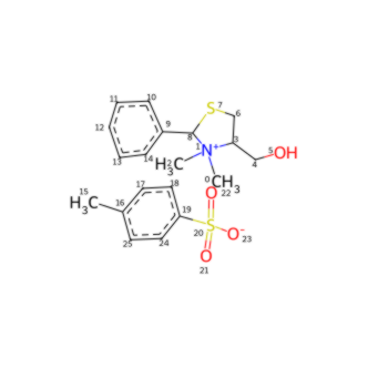 C[N+]1(C)C(CO)CSC1c1ccccc1.Cc1ccc(S(=O)(=O)[O-])cc1